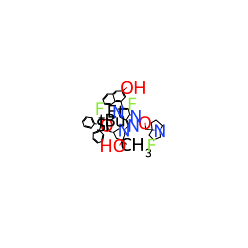 CCc1c(F)ccc2cc(O)cc(-c3ncc4c(N5C[C@H](CO[Si](c6ccccc6)(c6ccccc6)C(C)(C)C)C[C@@](C)(O)C5)nc(OC[C@@]56CCCN5C[C@H](F)C6)nc4c3F)c12